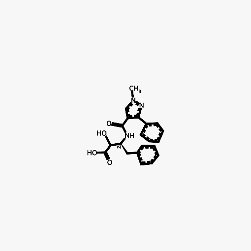 Cn1cc(C(=O)N[C@@H](Cc2ccccc2)C(O)C(=O)O)c(-c2ccccc2)n1